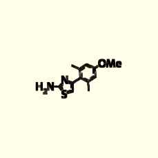 COc1cc(C)c(-c2csc(N)n2)c(C)c1